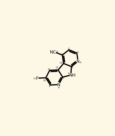 N#Cc1ccnc2[nH]c3ncc(F)cc3c12